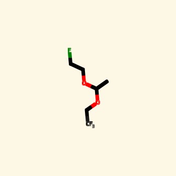 CC(OCCF)OCC(F)(F)F